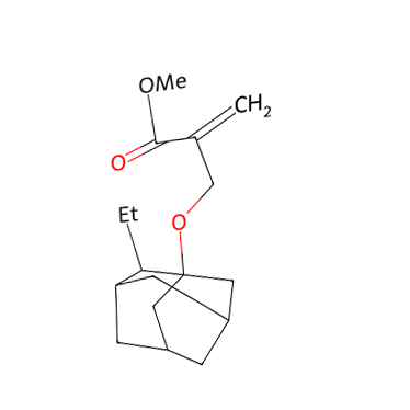 C=C(COC12CC3CC(CC(C3)C1CC)C2)C(=O)OC